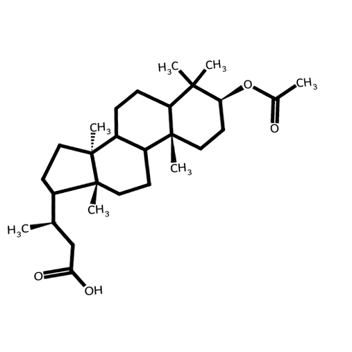 CC(=O)O[C@H]1CC[C@]2(C)C3CC[C@]4(C)C([C@H](C)CC(=O)O)CC[C@@]4(C)C3CCC2C1(C)C